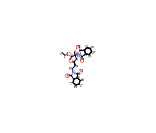 CCOC(=O)C(C)(CC=CCN1C(=O)c2ccccc2C1=O)N1C(=O)c2ccccc2C1=O